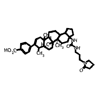 CC1C(c2ccc(C(=O)O)cc2)=CCC2(C)C1CCC1(C)C2CCC2C3CCCC3(NC(=O)NCCCN3CCCC3=O)CC[C@]21C